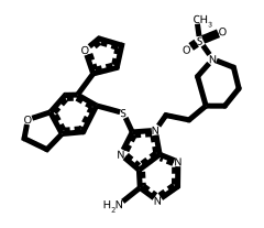 CS(=O)(=O)N1CCCC(CCn2c(Sc3cc4c(cc3-c3ccco3)OCC4)nc3c(N)ncnc32)C1